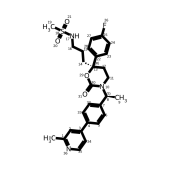 Cc1cc(-c2ccc([C@H](C)N3CC[C@](CCCNS(C)(=O)=O)(c4ccc(F)cc4)OC3=O)cc2)ccn1